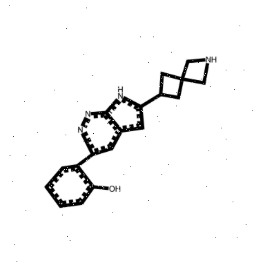 Oc1ccccc1-c1cc2cc(C3CC4(CNC4)C3)[nH]c2nn1